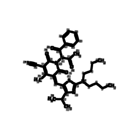 CCCCN(CCCC)c1nc(C(C)C)c(/C=C2\C(=O)N(N(C(C)=O)C(=O)c3ccccc3)C(=O)C(C#N)=C2C)s1